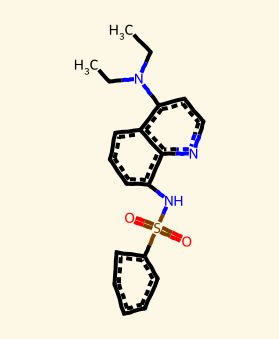 CCN(CC)c1ccnc2c(NS(=O)(=O)c3ccccc3)cccc12